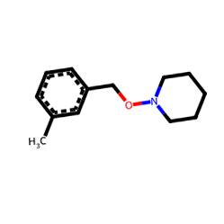 Cc1cccc(CON2CCCCC2)c1